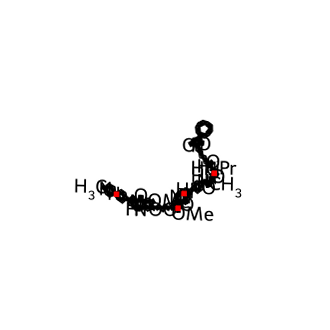 COc1cc2c(cc1OCCCOc1cc3c(cc1OC)C(=O)N1C=C(c4ccc(N5CCN(C)CC5)cc4)C[C@H]1C=N3)N=C[C@@H]1CC(c3ccc(NC(=O)[C@H](C)NC(=O)[C@@H](NC(=O)CCCCCN4C(=O)CC(c5ccccccccc5)C4=O)C(C)C)cc3)=CN1C2=O